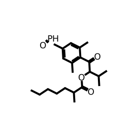 CCCCCC(C)C(=O)OC(C(=O)c1c(C)cc(C)cc1C)C(C)C.O=P